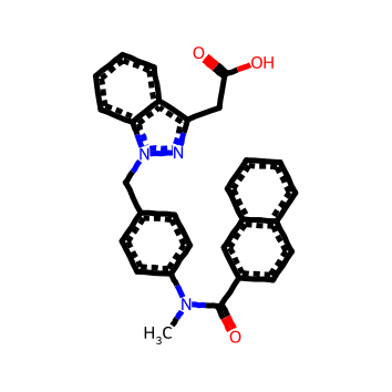 CN(C(=O)c1ccc2ccccc2c1)c1ccc(Cn2nc(CC(=O)O)c3ccccc32)cc1